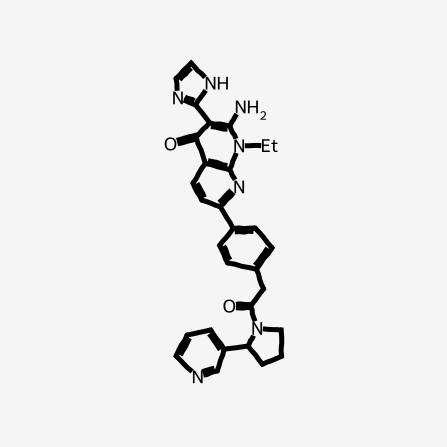 CCn1c(N)c(-c2ncc[nH]2)c(=O)c2ccc(-c3ccc(CC(=O)N4CCCC4c4cccnc4)cc3)nc21